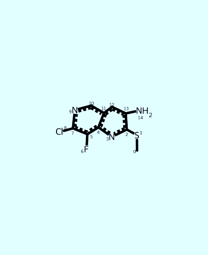 CSc1nc2c(F)c(Cl)ncc2cc1N